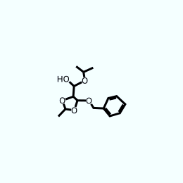 CC(C)OC(O)C1OC(C)OC1OCc1ccccc1